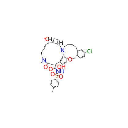 CO[C@H]1/C=C/CCN(C)C(=O)C[C@](O)(C(=O)NS(=O)(=O)c2ccc(C)cc2)c2ccc3c(c2)N(CCCCc2cc(Cl)ccc2CO3)C[C@@H]2CC[C@H]21